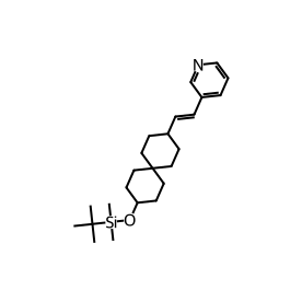 CC(C)(C)[Si](C)(C)OC1CCC2(CCC(C=Cc3cccnc3)CC2)CC1